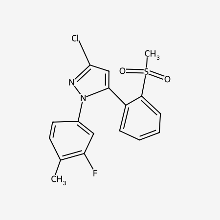 Cc1ccc(-n2nc(Cl)cc2-c2ccccc2S(C)(=O)=O)cc1F